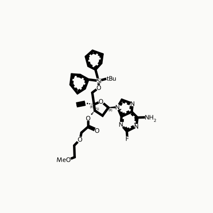 C#C[C@]1(CO[Si](c2ccccc2)(c2ccccc2)C(C)(C)C)O[C@@H](n2cnc3c(N)nc(F)nc32)C[C@@H]1OC(=O)COCCOC